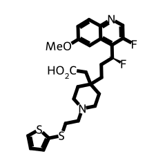 COc1ccc2ncc(F)c([C@@H](F)CCC3(CC(=O)O)CCN(CCSc4cccs4)CC3)c2c1